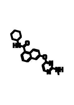 CNc1nccc(Oc2ccc3c(C(=O)NC4CCCCC4)cccc3c2)n1